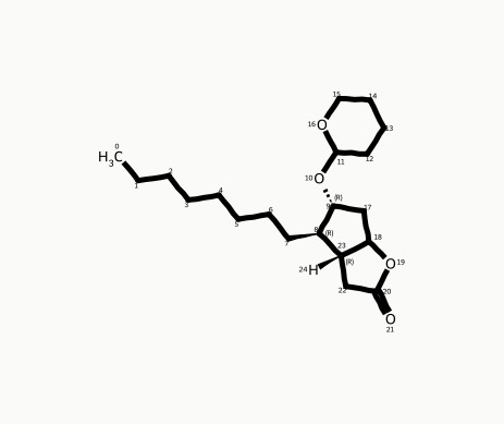 CCCCCCCC[C@H]1[C@H](OC2CCCCO2)CC2OC(=O)C[C@@H]21